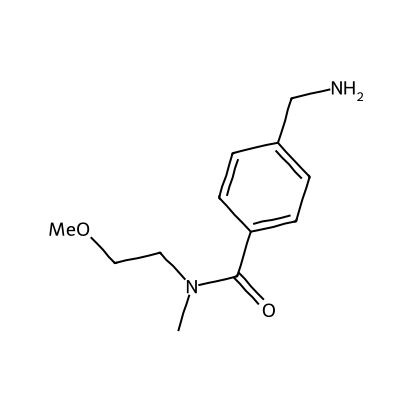 COCCN(C)C(=O)c1ccc(CN)cc1